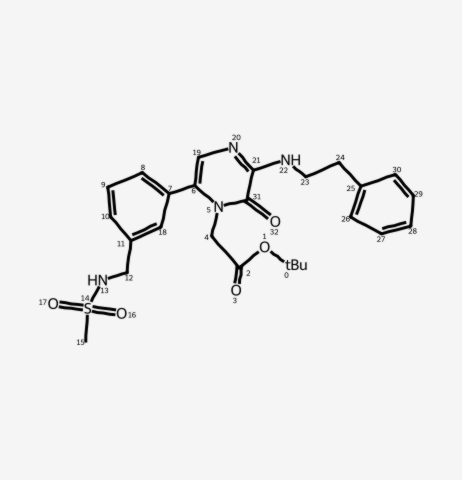 CC(C)(C)OC(=O)Cn1c(-c2cccc(CNS(C)(=O)=O)c2)cnc(NCCc2ccccc2)c1=O